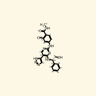 CNC(=O)c1ccc(Nc2ncc(-c3cnn[nH]3)c(N[C@H](CO)c3ccccc3)n2)cc1Cl